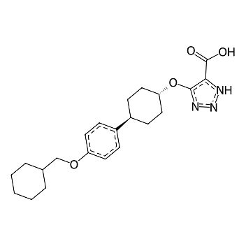 O=C(O)c1[nH]nnc1O[C@H]1CC[C@H](c2ccc(OCC3CCCCC3)cc2)CC1